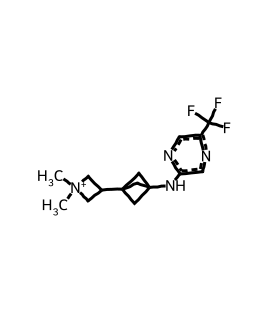 C[N+]1(C)CC(C23CC(Nc4cnc(C(F)(F)F)cn4)(C2)C3)C1